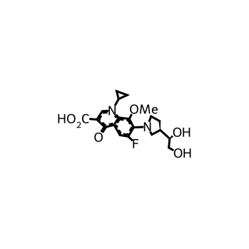 COc1c(N2CC[C@@H]([C@@H](O)CO)C2)c(F)cc2c(=O)c(C(=O)O)cn(C3CC3)c12